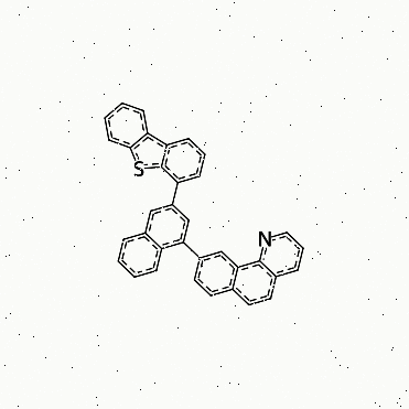 c1ccc2c(-c3ccc4ccc5cccnc5c4c3)cc(-c3cccc4c3sc3ccccc34)cc2c1